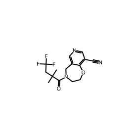 CC(C)(CC(F)(F)F)C(=O)N1CCOc2c(C#N)cncc2C1